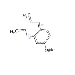 C=C/C=c1/ccc(OC)c/c1=C/C=C